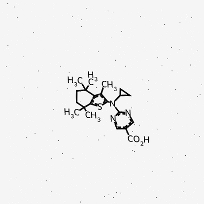 Cc1c(N(c2ncc(C(=O)O)cn2)C2CC2)sc2c1C(C)(C)CCC2(C)C